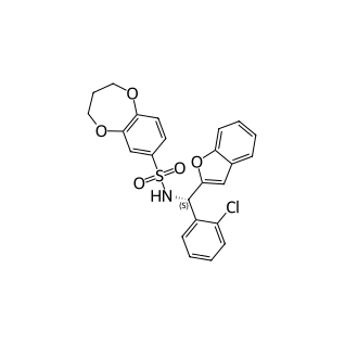 O=S(=O)(N[C@H](c1cc2ccccc2o1)c1ccccc1Cl)c1ccc2c(c1)OCCCO2